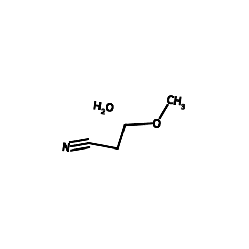 COCCC#N.O